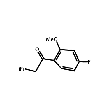 COc1cc(F)ccc1C(=O)CC(C)C